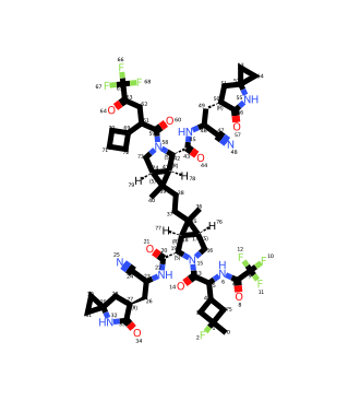 CC1(F)CC(C(NC(=O)C(F)(F)F)C(=O)N2C[C@H]3[C@@H]([C@H]2C(=O)NC(C#N)C[C@@H]2CC4(CC4)NC2=O)C3(C)CCC2(C)[C@@H]3[C@@H](C(=O)NC(C#N)C[C@@H]4CC5(CC5)NC4=O)N(C(=O)C(CC(=O)C(F)(F)F)C4CCC4)C[C@@H]32)C1